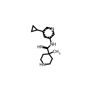 CC1(C(=N)Nc2cncc(C3CC3)c2)CCNCC1